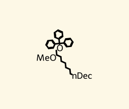 CCCCCCCCCCCCCCCCC(COC(c1ccccc1)(c1ccccc1)c1ccccc1)OC